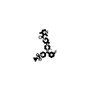 Cc1ccnc(C)c1C(=O)N1CCC(C)(N2CCN([C@@H](c3cccc(F)c3)C3CCN(S(=O)(=O)C4CC4)CC3)[C@@H](C)C2)CC1